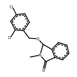 CN1C(=O)c2ccccc2C1OCc1ccc(Cl)cc1Cl